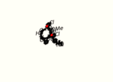 COC[C@@H]1NC(=O)[C@H](C)N(Cc2ccc(Cl)cc2Oc2ccc(-n3cnc(C(C)N(C)C)c3C)cc2)C(=O)C[C@@H](Cc2ccccc2)C(=O)N(C)[C@@H](C)[C@H](C)NC(=O)C[C@H](Cc2ccc(Cl)cc2)N(C)C1=O